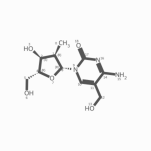 C[C@@H]1[C@H](O)[C@@H](CO)O[C@H]1n1cc(CO)c(N)nc1=O